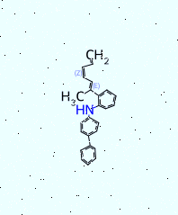 C=C/C=C\C=C(/C)c1ccccc1Nc1ccc(-c2ccccc2)cc1